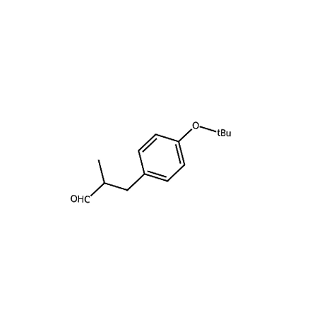 CC(C=O)Cc1ccc(OC(C)(C)C)cc1